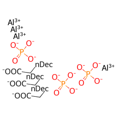 CCCCCCCCCCCC(=O)[O-].CCCCCCCCCCCC(=O)[O-].CCCCCCCCCCCC(=O)[O-].O=P([O-])([O-])[O-].O=P([O-])([O-])[O-].O=P([O-])([O-])[O-].[Al+3].[Al+3].[Al+3].[Al+3]